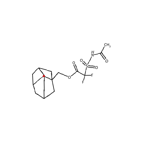 CC(=O)NS(=O)(=O)C(F)(F)C(=O)OCC12CC3CC(CC(C3)C1)C2